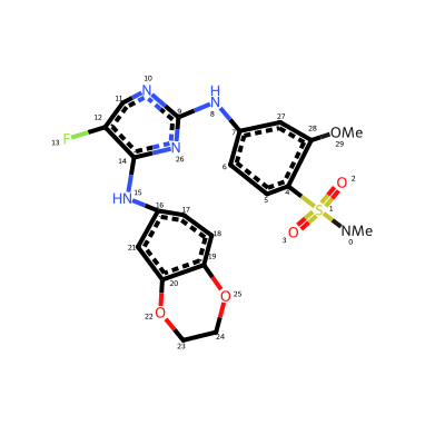 CNS(=O)(=O)c1ccc(Nc2ncc(F)c(Nc3ccc4c(c3)OCCO4)n2)cc1OC